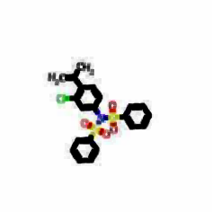 C=C(C)c1ccc(N(S(=O)(=O)c2ccccc2)S(=O)(=O)c2ccccc2)cc1Cl